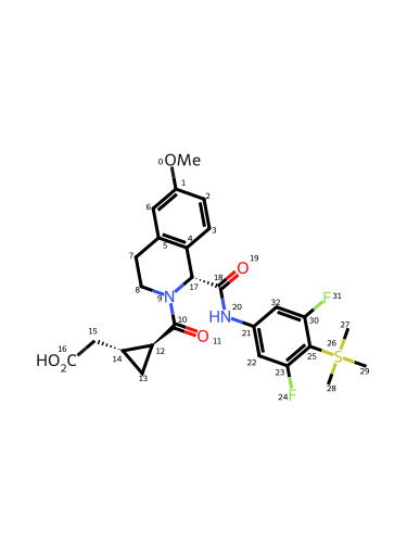 COc1ccc2c(c1)CCN(C(=O)[C@H]1C[C@@H]1CC(=O)O)[C@H]2C(=O)Nc1cc(F)c(S(C)(C)C)c(F)c1